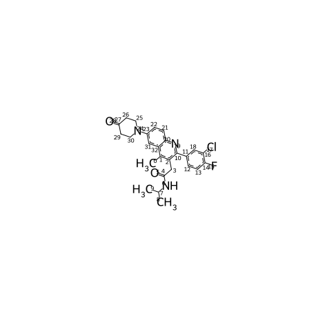 Cc1c(CC(=O)NC(C)C)c(-c2ccc(F)c(Cl)c2)nc2ccc(N3CCC(=O)CC3)cc12